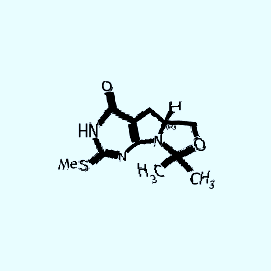 CSc1nc2c(c(=O)[nH]1)C[C@@H]1COC(C)(C)N21